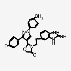 Bc1ccc(-n2cc(C3OCC(=O)N3CCc3ccc4[nH]c(=N)[nH]c4c3)c(-c3ccc(F)cc3)n2)cc1